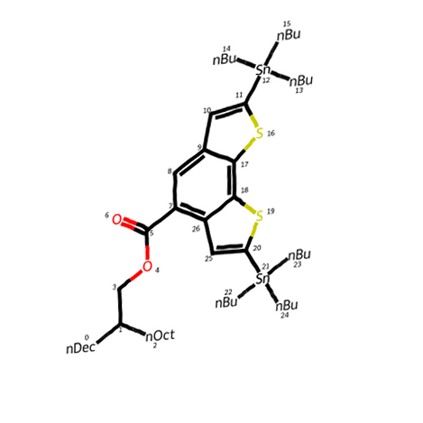 CCCCCCCCCCC(CCCCCCCC)COC(=O)c1cc2c[c]([Sn]([CH2]CCC)([CH2]CCC)[CH2]CCC)sc2c2s[c]([Sn]([CH2]CCC)([CH2]CCC)[CH2]CCC)cc12